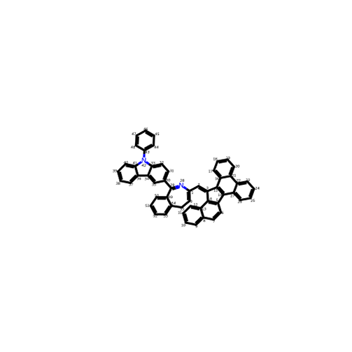 C1=C(/C=C2\c3c(ccc4ccccc34)-c3c2c2ccccc2c2ccccc32)N=C(c2ccc3c(c2)c2ccccc2n3-c2ccccc2)c2ccccc2C1